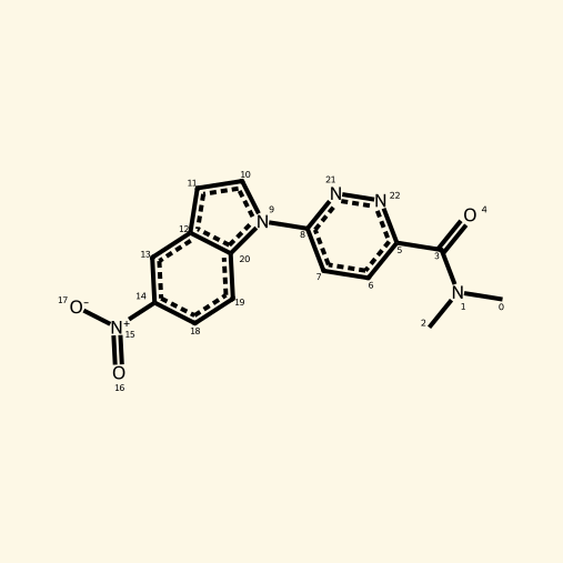 CN(C)C(=O)c1ccc(-n2ccc3cc([N+](=O)[O-])ccc32)nn1